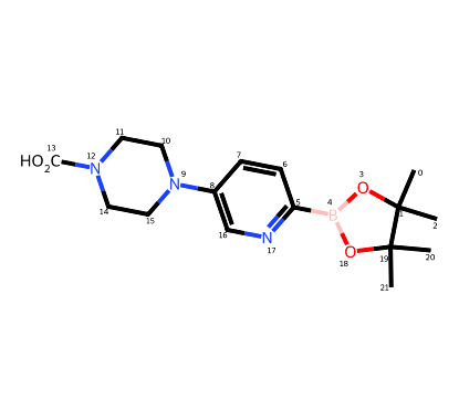 CC1(C)OB(c2ccc(N3CCN(C(=O)O)CC3)cn2)OC1(C)C